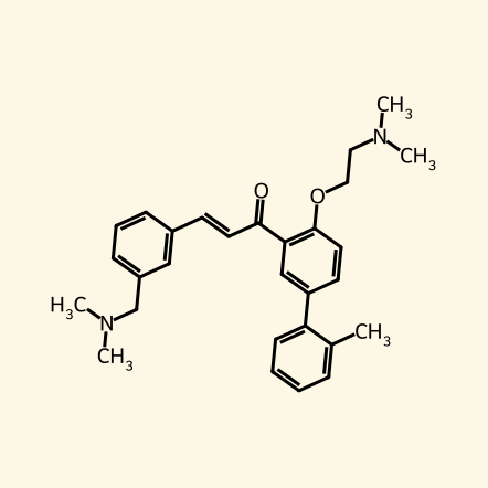 Cc1ccccc1-c1ccc(OCCN(C)C)c(C(=O)C=Cc2cccc(CN(C)C)c2)c1